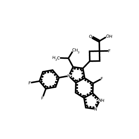 CC(C)c1c(C2CC(F)(C(=O)O)C2)c2c(F)c3[nH]ncc3cc2n1-c1ccc(F)c(F)c1